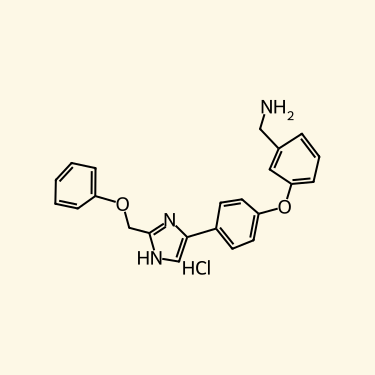 Cl.NCc1cccc(Oc2ccc(-c3c[nH]c(COc4ccccc4)n3)cc2)c1